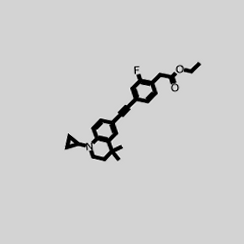 CCOC(=O)Cc1ccc(C#Cc2ccc3c(c2)C(C)(C)CCN3C2CC2)cc1F